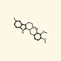 COc1ccc(CC2NCCc3c2[nH]c2ccc(C)cc32)c(Br)c1OC